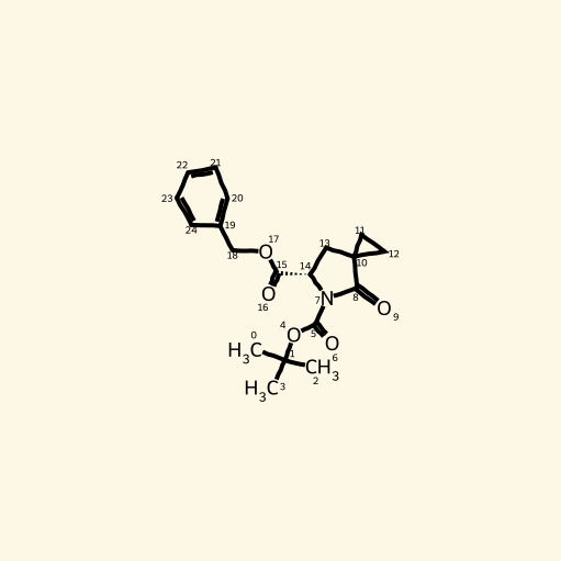 CC(C)(C)OC(=O)N1C(=O)C2(CC2)C[C@H]1C(=O)OCc1ccccc1